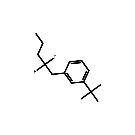 CCCC(F)(F)Cc1cccc(C(C)(C)C)c1